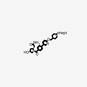 CCCCCCCN1CCC(COc2ccc(-c3ccc(C(=O)N4C[C@H](O)C[C@H]4CC(N)=O)cc3)cn2)CC1